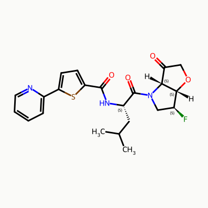 CC(C)C[C@H](NC(=O)c1ccc(-c2ccccn2)s1)C(=O)N1C[C@H](F)[C@H]2OCC(=O)[C@H]21